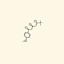 COc1ccc(C(=O)CC(=O)CC(=O)C(C)(C)C)cc1